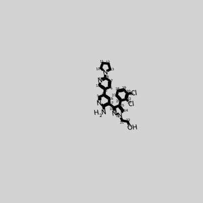 Nc1ncc(-c2ccc(N3CCCC3)nc2)cc1-c1nn(CCO)cc1-c1cccc(Cl)c1Cl